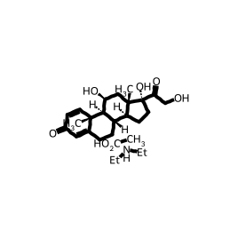 CC(=O)O.CCNCC.C[C@]12C=CC(=O)C=C1CC[C@@H]1[C@@H]2[C@@H](O)C[C@@]2(C)[C@H]1CC[C@]2(O)C(=O)CO